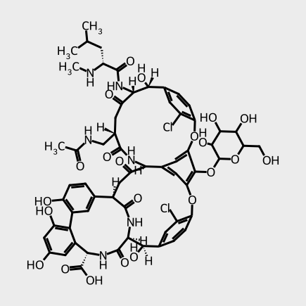 CN[C@H](CC(C)C)C(=O)N[C@H]1C(=O)C[C@@H](CNC(C)=O)C(=O)N[C@H]2C(=O)C[C@H]3C(=O)N[C@H](C(=O)N[C@H](C(=O)O)c4cc(O)cc(O)c4-c4cc3ccc4O)[C@H](O)c3ccc(c(Cl)c3)Oc3cc2cc(c3OC2OC(CO)C(O)C(O)C2O)Oc2ccc(cc2Cl)[C@H]1O